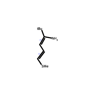 CS/C=C/C=C(\N)C(C)(C)C